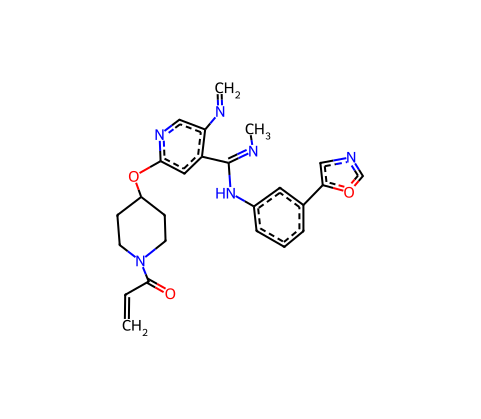 C=CC(=O)N1CCC(Oc2cc(/C(=N\C)Nc3cccc(-c4cnco4)c3)c(N=C)cn2)CC1